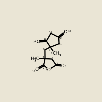 CC1(CC2(C)CC(=O)OC2=O)CC(=O)CC1=O